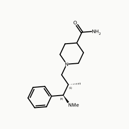 [CH2-][NH2+][C@@H](c1ccccc1)[C@@H](C)CN1CCC(C(N)=O)CC1